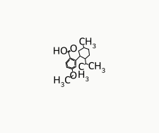 COc1ccc(C(=O)O)c(C2CC(C)CCC2C(C)C)c1